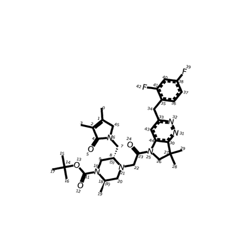 CC1=C(C)C(=O)N(C[C@H]2CN(C(=O)OC(C)(C)C)[C@H](C)CN2CC(=O)N2CC(C)(C)c3nnc(Cc4ccc(F)cc4F)cc32)C1